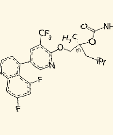 CC(C)C[C@@](C)(COc1ncc(-c2ccnc3cc(F)cc(F)c23)cc1C(F)(F)F)OC(N)=O